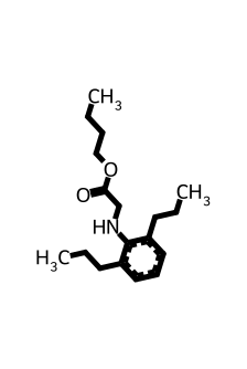 CCCCOC(=O)CNc1c(CCC)cccc1CCC